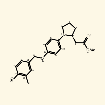 COC(=O)C[C@@H]1CCCN1c1ccc(OCc2ccc(Br)c(C)c2)cc1